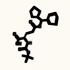 CC(C)(C)OC(=O)N[C@@H](CCC(=O)OC(c1ccccc1)C1CCCC1)C(=O)O